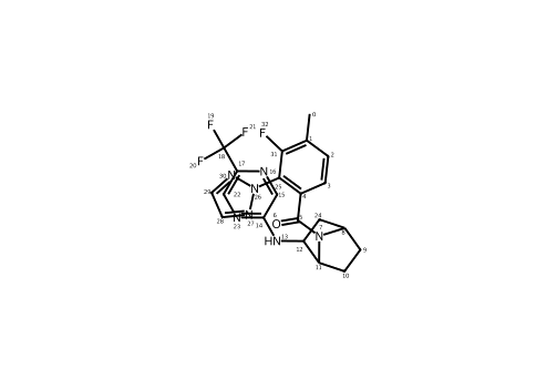 Cc1ccc(C(=O)N2C3CCC2C(Nc2cnc(C(F)(F)F)cn2)C3)c(-n2nccn2)c1F